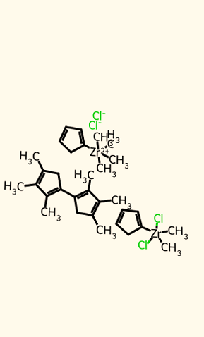 CC1=C(C)C(C)=C(C2=C(C)C(C)=C(C)C2)C1.[CH3][Zr+2]([CH3])([CH3])([CH3])[C]1=CC=CC1.[CH3][Zr]([CH3])([Cl])([Cl])[C]1=CC=CC1.[Cl-].[Cl-]